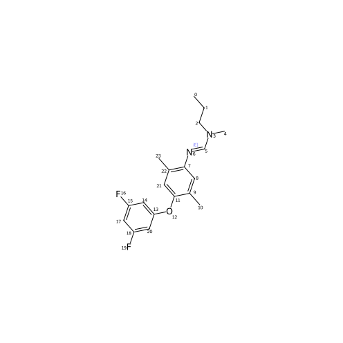 CCCN(C)/C=N/c1cc(C)c(Oc2cc(F)cc(F)c2)cc1C